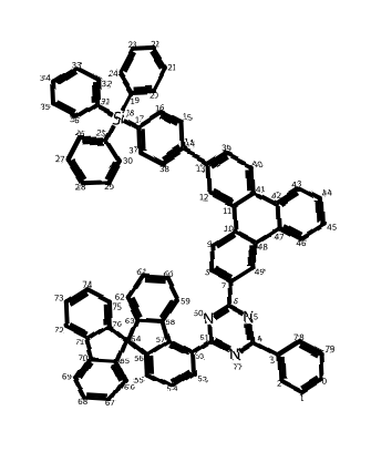 c1ccc(-c2nc(-c3ccc4c5cc(-c6ccc([Si](c7ccccc7)(c7ccccc7)c7ccccc7)cc6)ccc5c5ccccc5c4c3)nc(-c3cccc4c3-c3ccccc3C43c4ccccc4-c4ccccc43)n2)cc1